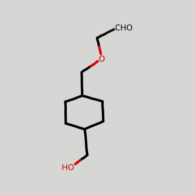 O=CCOCC1CCC(CO)CC1